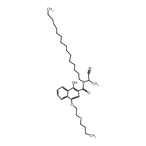 CCCCCCCCCCCCCCCCN(C(=O)c1cc(OCCSCCCC)c2ccccc2c1O)C(C)C#N